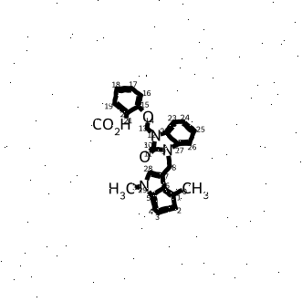 Cc1cccc2c1c(Cn1c(=O)n(COc3ccccc3C(=O)O)c3ccccc31)cn2C